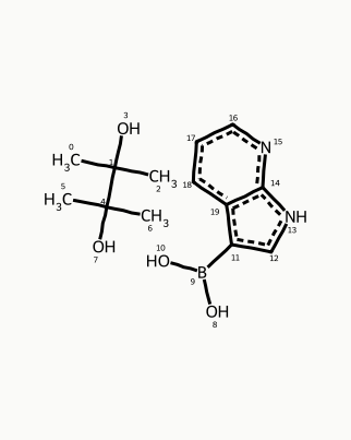 CC(C)(O)C(C)(C)O.OB(O)c1c[nH]c2ncccc12